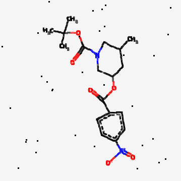 CC1CC(OC(=O)c2ccc([N+](=O)[O-])cc2)CN(C(=O)OC(C)(C)C)C1